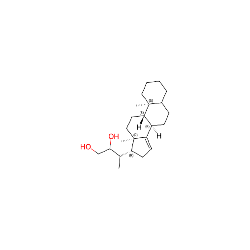 CC(C(O)CO)[C@H]1CC=C2[C@@H]3CCC4CCCC[C@]4(C)[C@H]3CC[C@@]21C